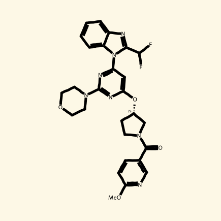 COc1ccc(C(=O)N2CC[C@H](Oc3cc(-n4c(C(F)F)nc5ccccc54)nc(N4CCOCC4)n3)C2)cn1